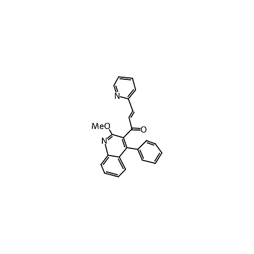 COc1nc2ccccc2c(-c2ccccc2)c1C(=O)C=Cc1ccccn1